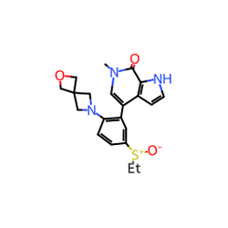 CC[S+]([O-])c1ccc(N2CC3(COC3)C2)c(-c2cn(C)c(=O)c3[nH]ccc23)c1